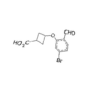 O=Cc1ccc(Br)cc1OC1CC(C(=O)O)C1